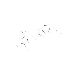 COc1cc(C[S+]([O-])c2nc3cc(OC(F)(F)C(F)F)ccc3[nH]2)c(N(C)C)cc1OC